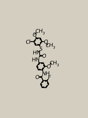 COc1cc(OC)c(SNC(=O)Nc2ccc(NC(=O)c3ccccc3F)c(OC)c2)cc1Cl